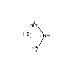 Br.CCCNCCC